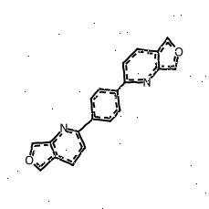 c1cc(-c2ccc3cocc3n2)ccc1-c1ccc2cocc2n1